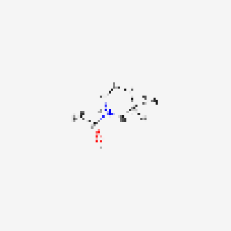 CC(C)C(=O)N1CCCC(C)(C(C)C)C1